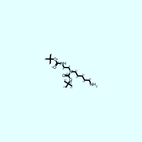 CC(C)(C)OC(=O)NCCN(CCCCCN)C(=O)OC(C)(C)C